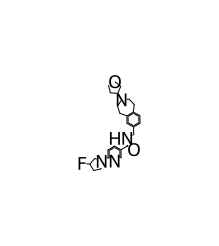 O=C(NCc1ccc2c(c1)CCN(C1CCOC1)CC2)c1ccc(N2CCC(F)C2)nc1